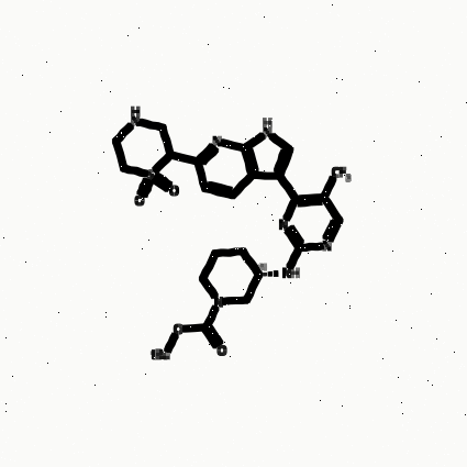 CC(C)(C)OC(=O)N1CCC[C@H](Nc2ncc(C(F)(F)F)c(-c3c[nH]c4nc(C5CNCCS5(=O)=O)ccc34)n2)C1